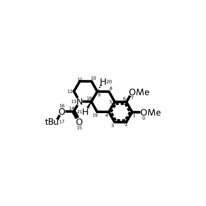 COc1ccc2c(c1OC)C[C@@H]1CCCN(C(=O)OC(C)(C)C)[C@H]1C2